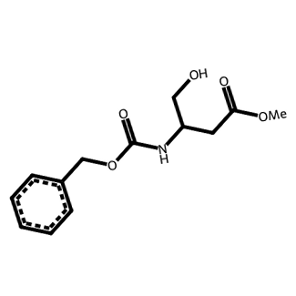 COC(=O)CC(CO)NC(=O)OCc1ccccc1